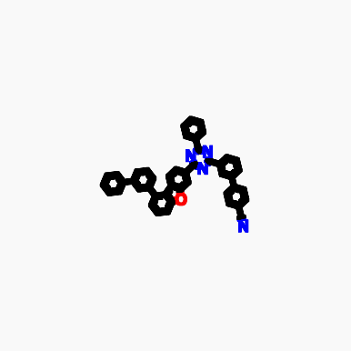 N#Cc1ccc(-c2cccc(-c3nc(-c4ccccc4)nc(-c4ccc5c(c4)oc4cccc(-c6cccc(-c7ccccc7)c6)c45)n3)c2)cc1